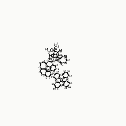 C1=Cc2ccc3ccccc3c2[C@H]2C(=C1)C=Cc1ccccc12.C[C@@H]1[C@H]2C[C@H](C[C@H]1C1=CN=CC[C+]=C1)C2(C)C.c1ccc([B-](c2ccccc2)(c2ccccc2)c2ccccc2)cc1